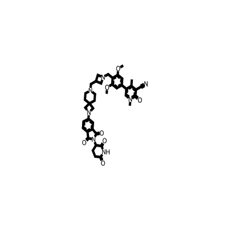 COc1cc(-c2cn(C)c(=O)c(C#N)c2C)cc(OC)c1CN1CC(CN2CCC3(CC2)CN(c2ccc4c(c2)C(=O)N(C2CCC(=O)NC2=O)C4=O)C3)C1